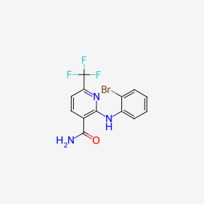 NC(=O)c1ccc(C(F)(F)F)nc1Nc1ccccc1Br